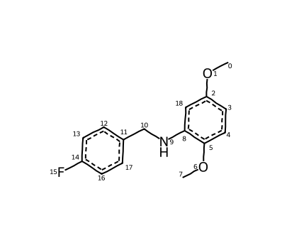 COc1ccc(OC)c(NCc2ccc(F)cc2)c1